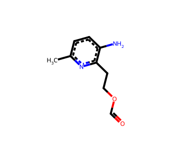 Cc1ccc(N)c(CCOC=O)n1